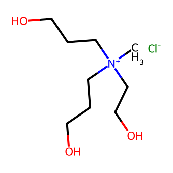 C[N+](CCO)(CCCO)CCCO.[Cl-]